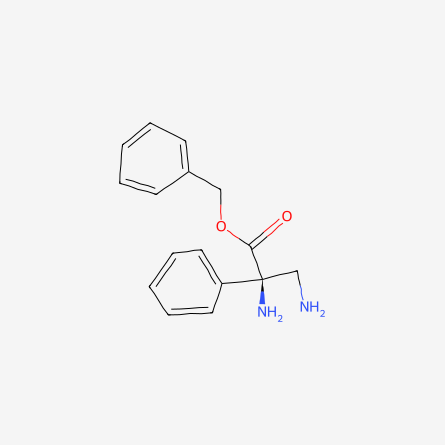 NC[C@@](N)(C(=O)OCc1ccccc1)c1ccccc1